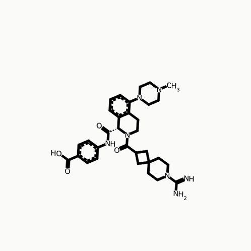 CN1CCN(c2cccc3c2CCN(C(=O)C2CC4(CCN(C(=N)N)CC4)C2)[C@@H]3C(=O)Nc2ccc(C(=O)O)cc2)CC1